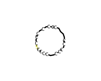 C1CCCCCCCCCCCCCSCCCCCCCCCCCC1